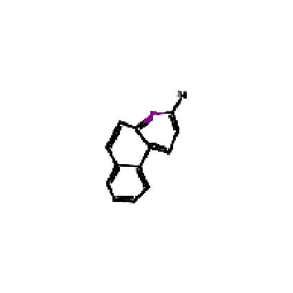 [2H]c1ccc2c(ccc3ccccc32)p1